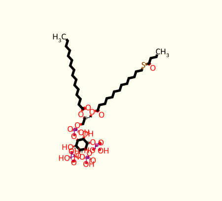 CCCCCCCCCCCCCCCC(=O)O[C@H](COC(=O)CCCCCCCCCCCCSC(=O)CCC)COP(=O)(O)OC1C(O)[C@@H](OP(=O)(O)O)C(OP(=O)(O)O)[C@@H](OP(=O)(O)O)[C@H]1O